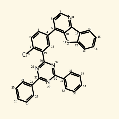 Clc1ccc(-c2ccnc3c2sc2ccccc23)cc1-c1nc(-c2ccccc2)nc(-c2ccccc2)n1